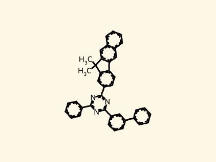 CC1(C)c2cc(-c3nc(-c4ccccc4)nc(-c4cccc(-c5ccccc5)c4)n3)ccc2-c2cc3ccccc3cc21